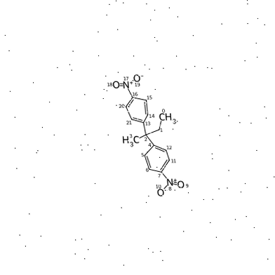 CCC(C)(c1ccc([N+](=O)[O-])cc1)c1ccc([N+](=O)[O-])cc1